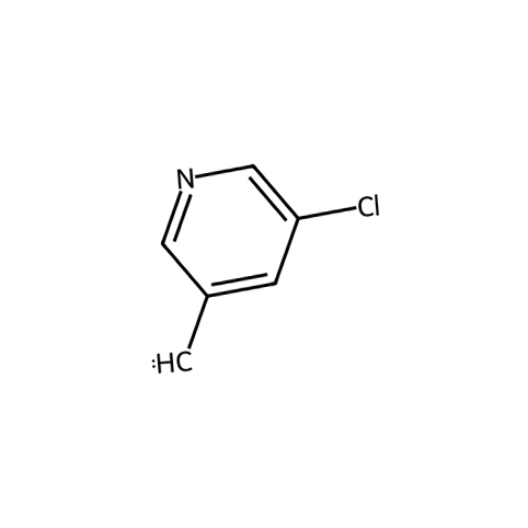 [CH]c1cncc(Cl)c1